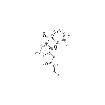 CCOC(=O)Cc1cc(C)cc2c(=O)c3ccc(C)c(C)c3oc12